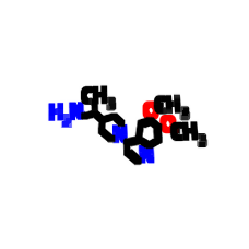 CCC(CN)C1CCN(c2ccnc3cc(OC)c(OC)cc23)CC1